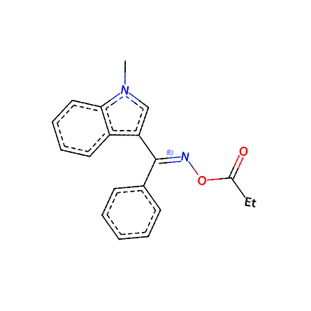 CCC(=O)O/N=C(\c1ccccc1)c1cn(C)c2ccccc12